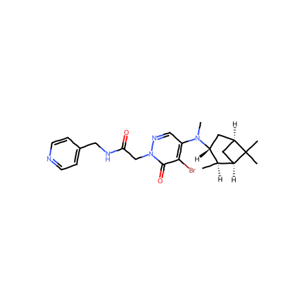 C[C@H]1[C@H](N(C)c2cnn(CC(=O)NCc3ccncc3)c(=O)c2Br)C[C@@H]2C[C@H]1C2(C)C